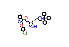 Cn1c(COc2ccc(Cl)cc2)c(C(=O)CCC2CCNCC2CCCC2CCN(C(c3ccccc3)(c3ccccc3)c3ccccc3)CC2)c2ccccc21